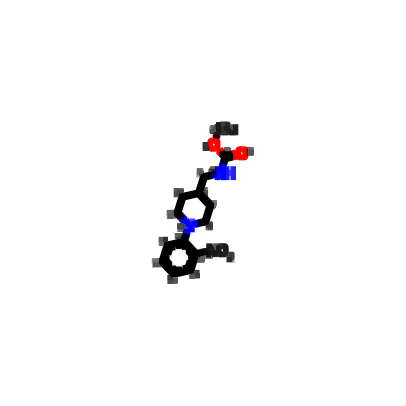 CC(C)(C)OC(=O)NCC1CCN(c2ccccc2[N+](=O)[O-])CC1